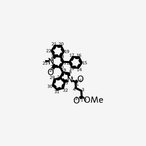 COC(=O)CCC(=O)n1cc(-c2c(-c3ccccc3)c3ccccc3n(C)c2=O)c2ccccc21